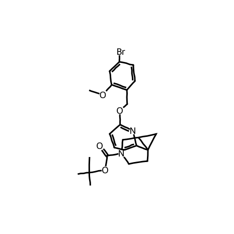 COc1cc(Br)ccc1COc1cccc(C23CCN(C(=O)OC(C)(C)C)CC2C3)n1